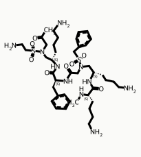 CN[C@@H](CCCCN)C(=O)N[C@@H](CCCCN)CN(CC(=O)N[C@@H](Cc1ccccc1)C(=O)N[C@@H](CCCCN)CN(CC(C)=O)S(=O)(=O)CCN)S(=O)(=O)Cc1ccccc1